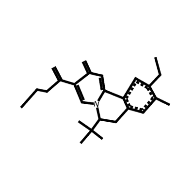 C=C1C=C2c3cc(CC)c(C)cc3CC(C(C)(C)C)N2C=C1C(=C)CCC